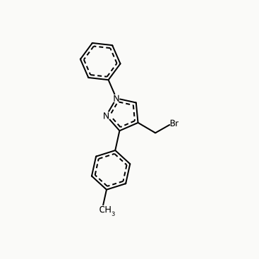 Cc1ccc(-c2nn(-c3ccccc3)cc2CBr)cc1